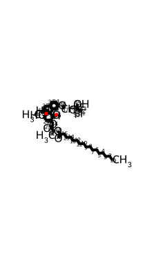 CCCCCCCCCCCCCCCCCC(=O)O[C@@H](C)C(=O)OC1=CC[C@@]2(O)[C@H]3Cc4ccc(OC)c5c4[C@@]2(CCN3C)[C@H]1O5.O=C(O)C(F)(F)F